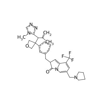 C=C(C)C(c1nncn1C)C1(c2cccc(CC3C=C4C(C(F)(F)F)=CC(CN5CCCC5)=CN4C3=O)c2)COC1